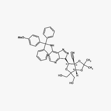 C#C[C@@]12OC(C)(C)O[C@@H]1C(CO)(CO)O[C@H]2C1N=Nc2c(NC(c3ccccc3)(c3ccccc3)c3ccc(OC)cc3)ncnc21